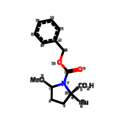 COC1CC[C@@](C(=O)O)(C(C)(C)C)N1C(=O)OCc1ccccc1